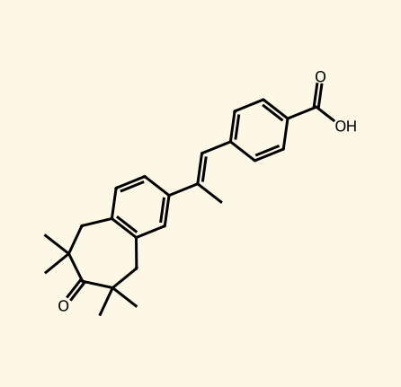 C/C(=C\c1ccc(C(=O)O)cc1)c1ccc2c(c1)CC(C)(C)C(=O)C(C)(C)C2